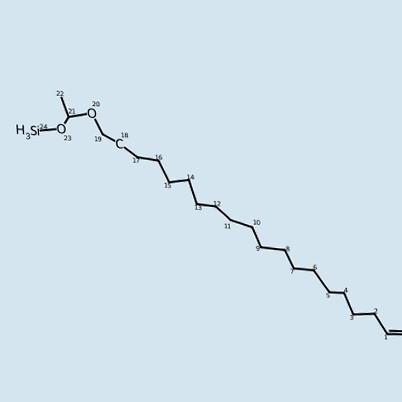 C=CCCCCCCCCCCCCCCCCCCOC(C)O[SiH3]